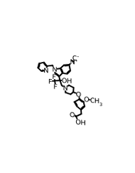 [C-]#[N+]c1ccc2c(C(O)(CN3CCC(Oc4ccc(CC(=O)O)cc4OC)CC3)C(F)(F)F)cn(Cc3ccccn3)c2c1